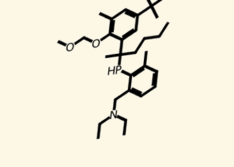 CCCCC(C)(Pc1c(C)cccc1CN(CC)CC)c1cc(C(C)(C)C)cc(C)c1OCOC